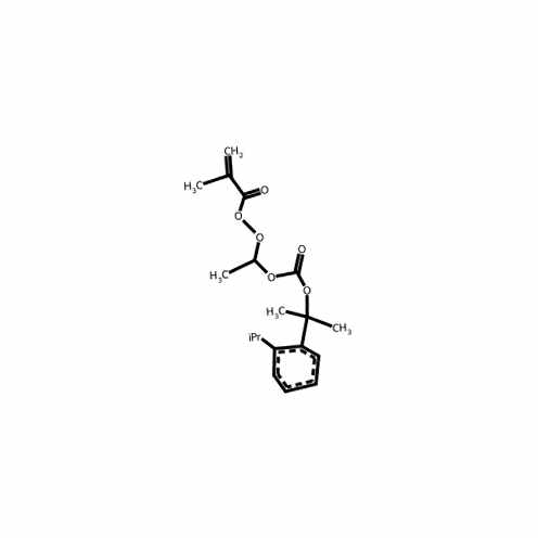 C=C(C)C(=O)OOC(C)OC(=O)OC(C)(C)c1ccccc1C(C)C